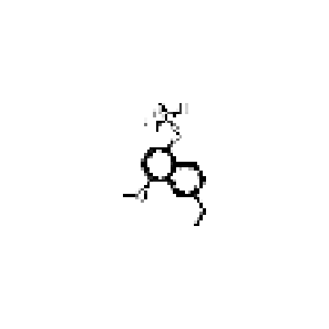 [1H][13C]([2H])(C)Sc1ccc(OC)c2cc(CC)ccc12